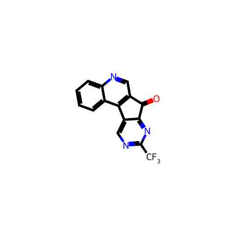 O=C1c2cnc3ccccc3c2-c2cnc(C(F)(F)F)nc21